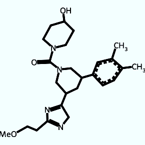 COCCC1=NCC(C2CC(c3ccc(C)c(C)c3)CN(C(=O)N3CCC(O)CC3)C2)=N1